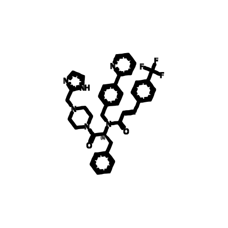 O=C([C@H](Cc1ccccc1)N(Cc1ccc(-c2ccccn2)cc1)C(=O)C=Cc1ccc(C(F)(F)F)cc1)N1CCN(Cc2ncc[nH]2)CC1